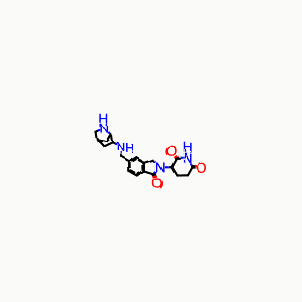 O=C1CCC(N2Cc3cc(CNC4CC5CNC4C5)ccc3C2=O)C(=O)N1